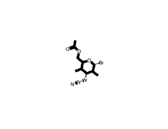 CC(=O)OCC1O[C@H](Br)C(C)[C@H](N=[N+]=[N-])C1C